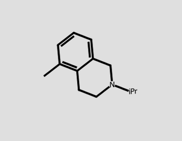 Cc1cccc2c1CCN(C(C)C)C2